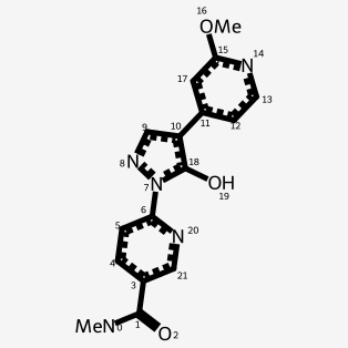 CNC(=O)c1ccc(-n2ncc(-c3ccnc(OC)c3)c2O)nc1